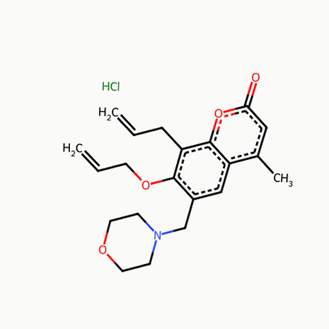 C=CCOc1c(CN2CCOCC2)cc2c(C)cc(=O)oc2c1CC=C.Cl